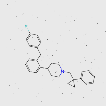 Fc1ccc(Cc2ccccc2C2CCN(CC3(c4ccccc4)CC3)CC2)cc1